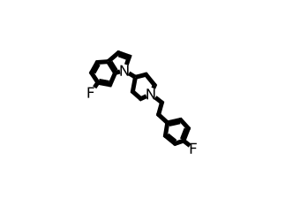 Fc1ccc(CCN2CCC(n3ccc4ccc(F)cc43)CC2)cc1